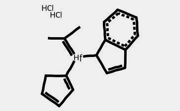 C[C](C)=[Hf]([C]1=CC=CC1)[CH]1C=Cc2ccccc21.Cl.Cl